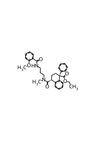 CCOC(=O)[C@@]1(c2ccccc2)CC[C@H](C(=O)N(C)CCCNC(=O)c2ccccc2OC)c2ccccc21